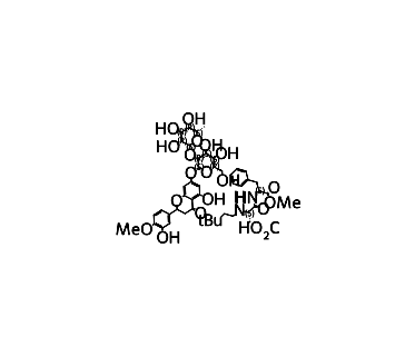 COC(=O)[C@H](Cc1ccccc1)NC(=O)[C@H](CC(=O)O)NCCC(C)(C)C.COc1ccc(C2CC(=O)c3c(O)cc(O[C@@H]4O[C@H](CO)[C@@H](O)[C@H](O)[C@H]4O[C@@H]4O[C@@H](C)[C@H](O)[C@@H](O)[C@H]4O)cc3O2)cc1O